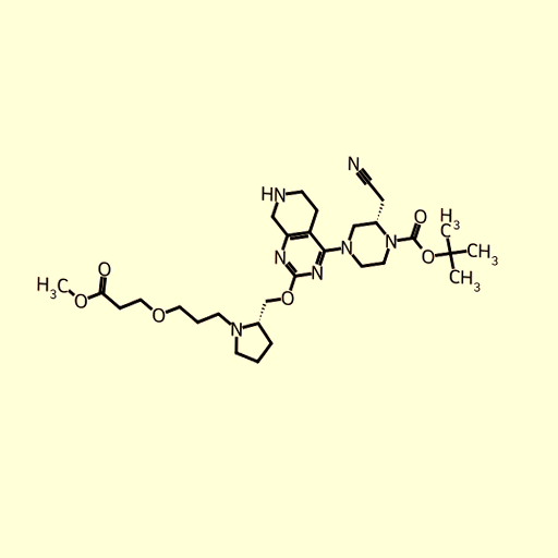 COC(=O)CCOCCCN1CCC[C@H]1COc1nc2c(c(N3CCN(C(=O)OC(C)(C)C)[C@@H](CC#N)C3)n1)CCNC2